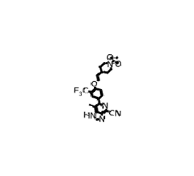 Cc1c(-c2ccc(OCCC3CCN(S(C)(=O)=O)CC3)c(C(F)(F)F)c2)nc(C#N)c2nc[nH]c12